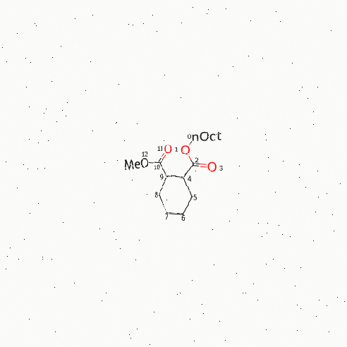 CCCCCCCCOC(=O)C1CCCCC1C(=O)OC